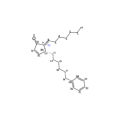 CCCCCC/C=C1/C(=O)C=C[C@H]1CCCCCCc1ccccc1